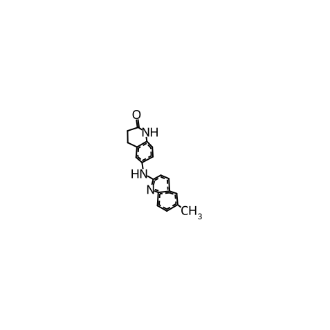 Cc1ccc2nc(Nc3ccc4c(c3)CCC(=O)N4)ccc2c1